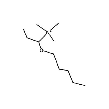 CCCCCOC(CC)[N+](C)(C)C